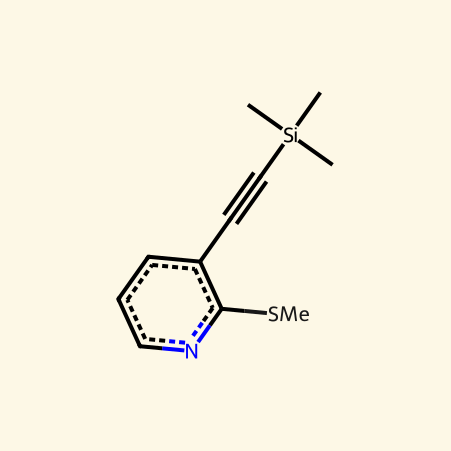 CSc1ncccc1C#C[Si](C)(C)C